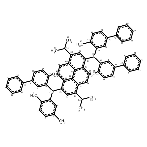 Cc1ccc(C)c(N(c2cc(-c3ccccc3)ccc2C)c2cc(C(C)C)c3ccc4c(N(c5cc(-c6ccccc6)ccc5C)c5cc(-c6ccccc6)ccc5C)cc(C(C)C)c5ccc2c3c54)c1